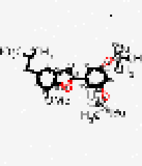 COc1cc(CC(C)C(=O)O)cc2cc(-c3cc(O[Si](C)(C)C(C)(C)C)cc(O[Si](C)(C)C(C)(C)C)c3)oc12